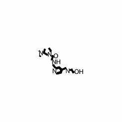 CCN(CC(C)N(C)C)C(=O)CNCc1cc(/C=N/CCO)ccn1